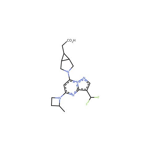 CC1CCN1c1cc(N2CC3C(CC(=O)O)C3C2)n2ncc(C(F)F)c2n1